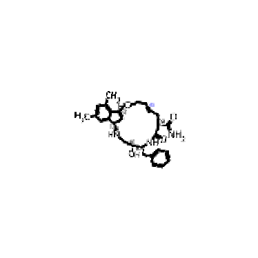 Cc1cc(C)c2c(c1)[C@H]1C[C@@H]2OC/C=C/C[C@@H](C(N)=O)C(=O)N[C@@H](Cc2ccccc2)[C@H](O)CN1